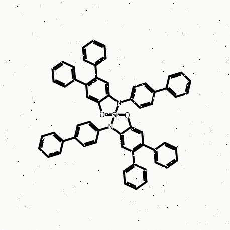 c1ccc(-c2ccc(N3c4cc(-c5ccccc5)c(-c5ccccc5)cc4O[Si]34Oc3cc(-c5ccccc5)c(-c5ccccc5)cc3N4c3ccc(-c4ccccc4)cc3)cc2)cc1